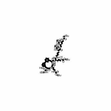 CC(C)(C)OC(=O)NCCC[C@@H](CNC(=O)[C@H](CCCCNC(=O)[C@@H](CCCNC(=O)OC(C)(C)C)NC(=O)[C@@H]1Cc2cccc(c2)-c2ccc(O)c(c2)C[C@H](NC(=O)OC(C)(C)C)C(=O)N[C@@H](CCCNC(=O)OC(C)(C)C)C(=O)N1)NC(=O)OC(C)(C)C)NC(=O)OC(C)(C)C